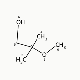 COC(C)(C)CO